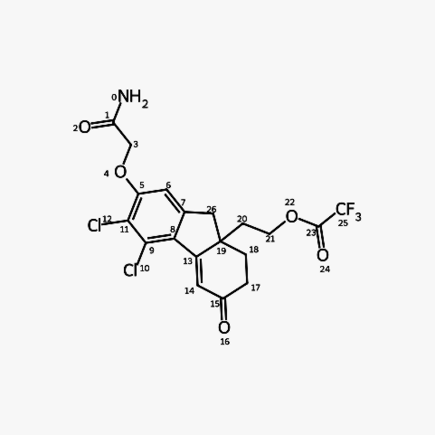 NC(=O)COc1cc2c(c(Cl)c1Cl)C1=CC(=O)CCC1(CCOC(=O)C(F)(F)F)C2